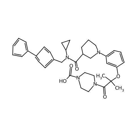 CC(C)(Oc1cccc(N2CCCC(C(=O)N(Cc3ccc(-c4ccccc4)cc3)C3CC3)C2)c1)C(=O)N1CCN(C(=O)O)CC1